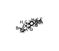 Cn1c(=O)n(Cc2cnc(Br)s2)c(=O)c2cc(S(=O)(=O)NC3(C)CC3)ccc21